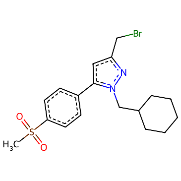 CS(=O)(=O)c1ccc(-c2cc(CBr)nn2CC2CCCCC2)cc1